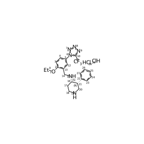 CCOc1ccc(-n2nnnc2C(F)(F)F)cc1CN[C@H]1CCNC[C@H]1c1ccccc1.Cl.Cl